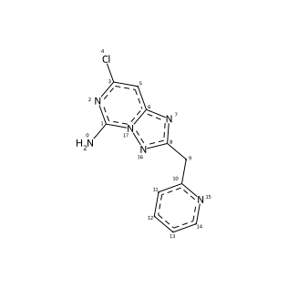 Nc1nc(Cl)cc2nc(Cc3ccccn3)nn12